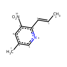 C/C=C/c1ncc(C)cc1[N+](=O)[O-]